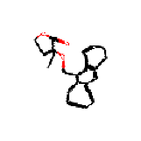 CC1(OCc2c3ccccc3cc3ccccc23)CCOC1=O